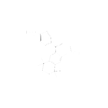 C=C(c1ccc(C(=O)O)cc1)c1cc2c(cc1C)C(C)(C)CCC2(C)C.CC(=O)O